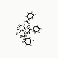 O=C(O[C@H]1[C@H](OC(=O)c2ccccc2)COC(Br)[C@@H]1OC(=O)c1ccccc1)c1ccccc1